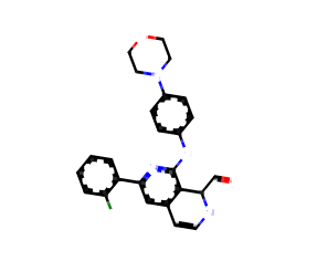 O=CC1NC=Cc2cc(-c3ccccc3Cl)nc(Nc3ccc(N4CCOCC4)cc3)c21